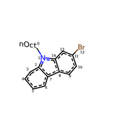 CCCCCCCCn1c2ccccc2c2ccc(Br)cc21